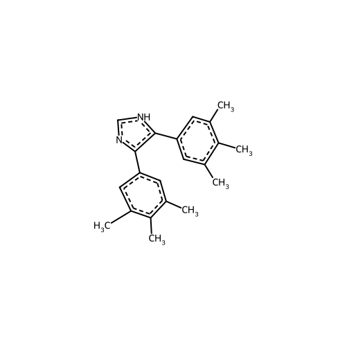 Cc1cc(-c2nc[nH]c2-c2cc(C)c(C)c(C)c2)cc(C)c1C